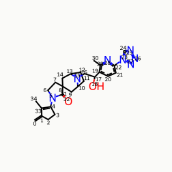 C=C1CCC(N2CCC3(CC4CCC(C3)N4CC(O)c3ccc(-n4cnnn4)nc3C)C2=O)=C1C